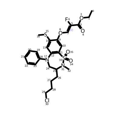 CCOC(=O)/C(F)=C/Oc1cc2c(cc1SC)N(c1ccccc1)CC(CCCCCl)N(C)S2(=O)=O